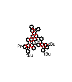 CC(C)c1ccc2c(c1)c1cc(C(C)(C)C)ccc1n2-c1ccc2c(c1)N(c1c(-c3cccc(-c4ccccc4)c3)cccc1-c1cccc(-c3ccccc3)c1)c1cc(-c3ccc4c(c3)c3ccccc3n4-c3ccccc3)cc3c1B2c1ccc(-n2c4ccc(C(C)(C)C)cc4c4cc(C(C)(C)C)ccc42)cc1N3c1c(-c2cccc(-c3ccccc3)c2)cccc1-c1cccc(-c2ccccc2)c1